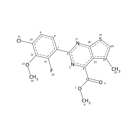 COC(=O)c1nc(-c2ccc(Cl)c(OC)c2F)nc2scc(C)c12